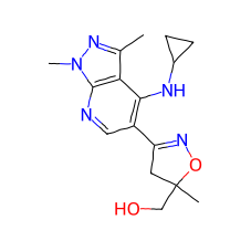 Cc1nn(C)c2ncc(C3=NOC(C)(CO)C3)c(NC3CC3)c12